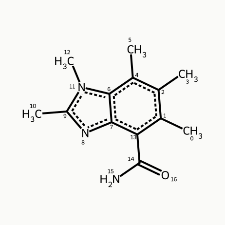 Cc1c(C)c(C)c2c(nc(C)n2C)c1C(N)=O